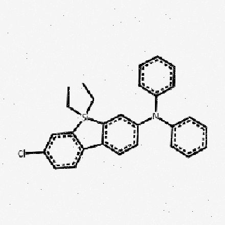 CC[Si]1(CC)c2cc(Cl)ccc2-c2ccc(N(c3ccccc3)c3ccccc3)cc21